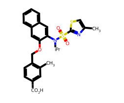 Cc1csc(S(=O)(=O)N(c2cc3ccccc3cc2OCc2ccc(C(=O)O)cc2C)C(C)C)n1